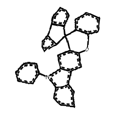 c1ccc(-n2c3ccccc3c3cc4c(cc32)C2(c3ccccc3O4)c3ccccc3-c3ccccc32)cc1